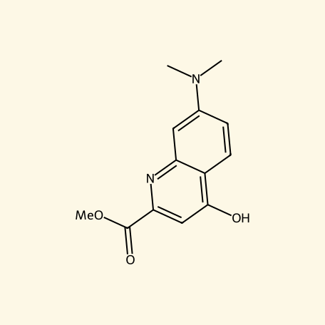 COC(=O)c1cc(O)c2ccc(N(C)C)cc2n1